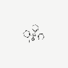 CCO[Si](C1=CCCCC1)(C1=CCCCC1)C1=CCCCC1